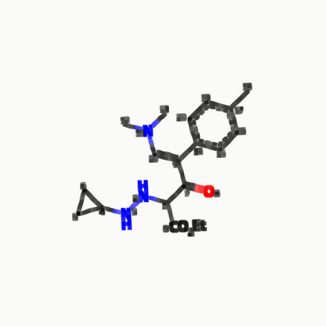 CCOC(=O)C(NNC1CC1)C(=O)C(=CN(C)C)c1ccc(C)cc1